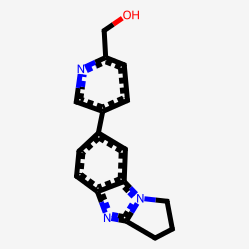 OCc1ccc(-c2ccc3nc4n(c3c2)CCC4)cn1